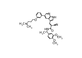 COc1ccc([C@@H](C)NC(=O)/C(C#N)=C/c2c[nH]c3ncc(-c4cccc(OCCCN(C)C)c4)cc23)cc1OC